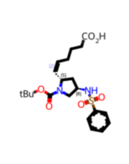 CC(C)(C)OC(=O)N1C[C@H](NS(=O)(=O)c2ccccc2)C[C@H]1/C=C\CCCC(=O)O